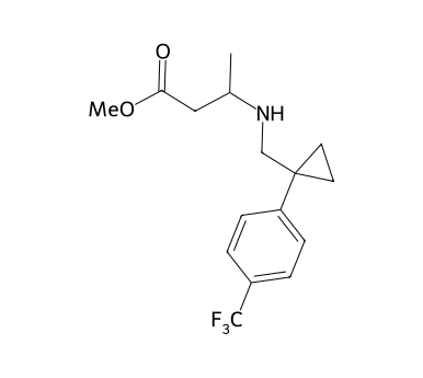 COC(=O)CC(C)NCC1(c2ccc(C(F)(F)F)cc2)CC1